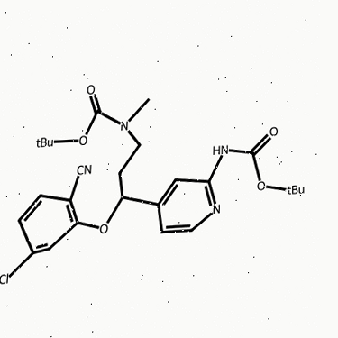 CN(CCC(Oc1cc(Cl)ccc1C#N)c1ccnc(NC(=O)OC(C)(C)C)c1)C(=O)OC(C)(C)C